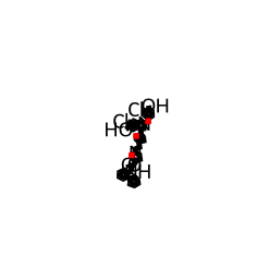 O=C(Nc1ccccc1-c1ccccc1)OC1CCN(CCc2ccc(CCN(Cc3ccc(O)c(Cl)c3)Cc3ccc(O)c(Cl)c3)cc2)CC1